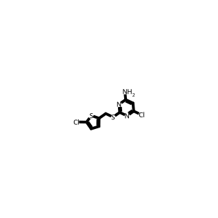 Nc1cc(Cl)nc(SCc2ccc(Cl)s2)n1